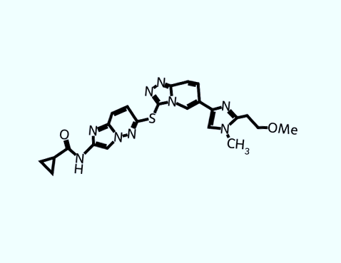 COCCc1nc(-c2ccc3nnc(Sc4ccc5nc(NC(=O)C6CC6)cn5n4)n3c2)cn1C